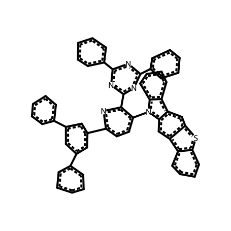 c1ccc(-c2cc(-c3ccccc3)cc(-c3ccc(-n4c5ccccc5c5cc6sc7ccccc7c6cc54)c(-c4nc(-c5ccccc5)nc(-c5ccccc5)n4)n3)c2)cc1